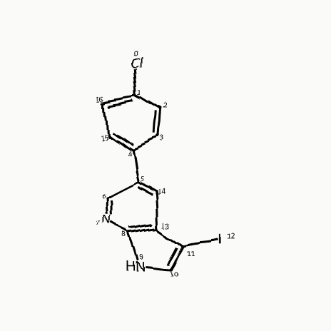 Clc1ccc(-c2cnc3[nH]cc(I)c3c2)cc1